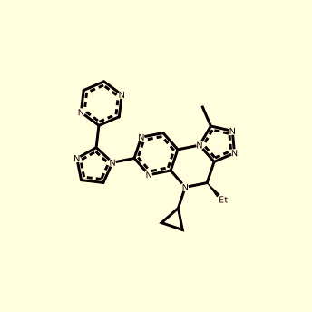 CC[C@@H]1c2nnc(C)n2-c2cnc(-n3ccnc3-c3cnccn3)nc2N1C1CC1